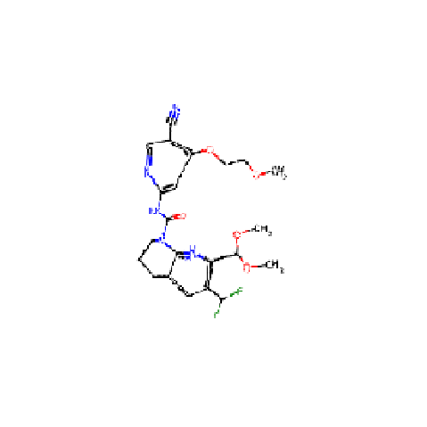 COCCOc1cc(NC(=O)N2CCCc3cc(C(F)F)c(C(OC)OC)nc32)ncc1C#N